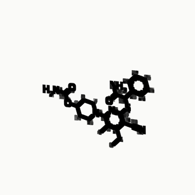 CCc1c(C)c(N2CCC(OC(N)=O)CC2)nc(SC(C(N)=O)c2ccccc2)c1C#N